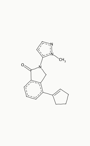 Cn1nccc1N1Cc2c(cccc2C2=CCCC2)C1=O